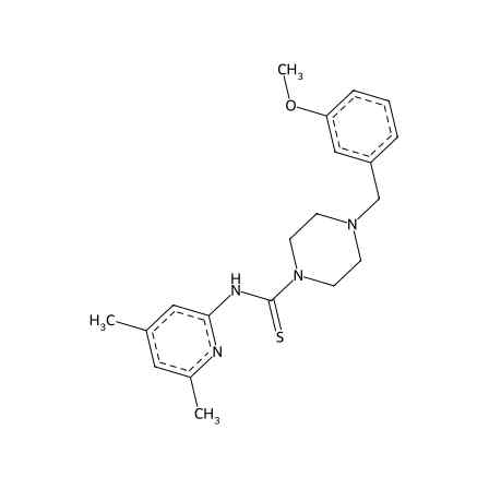 COc1cccc(CN2CCN(C(=S)Nc3cc(C)cc(C)n3)CC2)c1